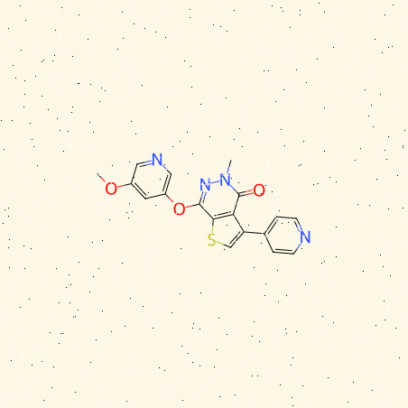 COc1cncc(Oc2nn(C)c(=O)c3c(-c4ccncc4)csc23)c1